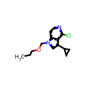 CCCOCn1cc(C2CC2)c2c(Cl)nccc21